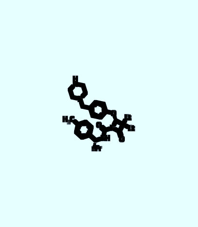 CCC[C@@H](NC(=O)N1C(=O)C(CC)(CC)[C@@H]1Oc1ccc(CN2CCNCC2)cc1)c1ccc(C)cc1